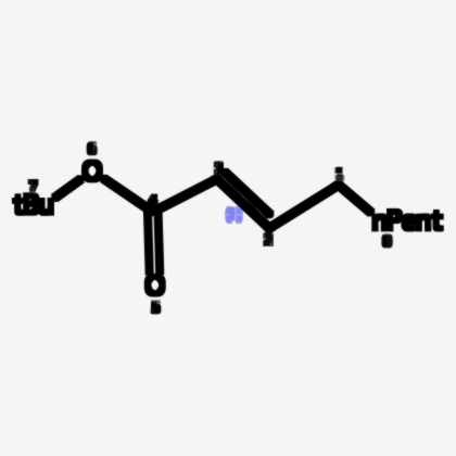 CCCCCC/C=C/C(=O)OC(C)(C)C